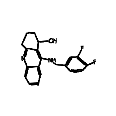 OC1CCCc2nc3ccccc3c(NCc3ccc(F)c(F)c3)c21